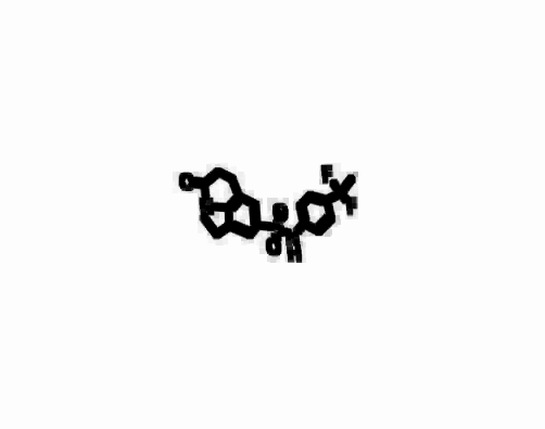 CC(F)(F)c1ccc(NS(=O)(=O)c2cc3c4c(c2)CCN4C(=O)CC3)cc1